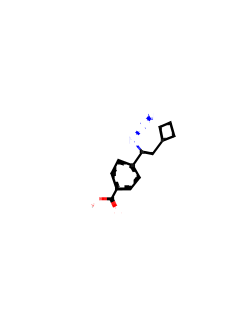 COC(=O)c1ccc(C(CC2CCC2)N=[N+]=[N-])cc1